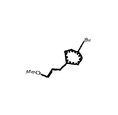 CCC(C)c1ccc(CC=COC)cc1